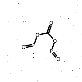 O=POC(=O)OP=O